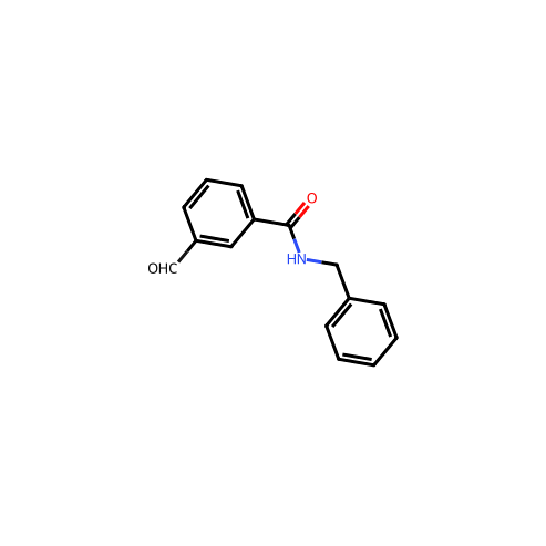 O=Cc1cccc(C(=O)NCc2ccccc2)c1